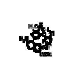 COc1cc2c(cc1Nc1ncc(Cl)c(Oc3ccccc3P(C)(C)=O)n1)CN(C)CC2